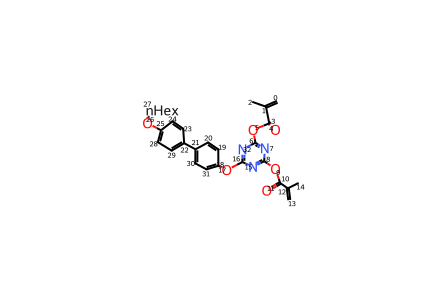 C=C(C)C(=O)Oc1nc(OC(=O)C(=C)C)nc(Oc2ccc(-c3ccc(OCCCCCC)cc3)cc2)n1